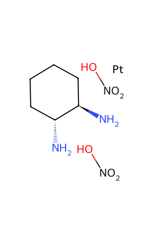 N[C@@H]1CCCC[C@H]1N.O=[N+]([O-])O.O=[N+]([O-])O.[Pt]